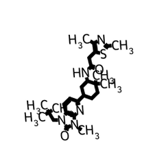 Cc1nc(C)c(CC(=O)NC2CC(c3ccc4c(n3)n(C)c(=O)n4CC(C)(C)C)CCC2(C)C)s1